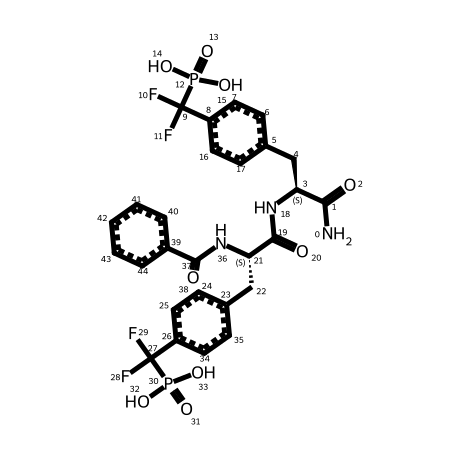 NC(=O)[C@H](Cc1ccc(C(F)(F)P(=O)(O)O)cc1)NC(=O)[C@H](Cc1ccc(C(F)(F)P(=O)(O)O)cc1)NC(=O)c1ccccc1